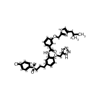 CC(C)Cc1csc(COc2cccc(C(=O)Nc3cc(CCCS(=O)(=O)c4ccc(Cl)cc4)ccc3OCc3nnn[nH]3)c2)n1